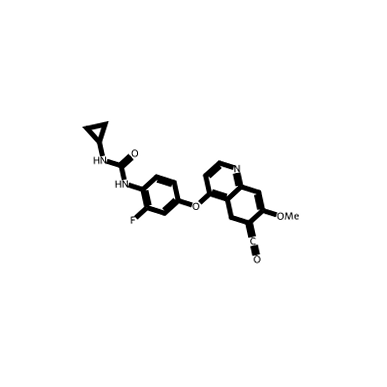 COC1=Cc2nccc(Oc3ccc(NC(=O)NC4CC4)c(F)c3)c2CC1=C=O